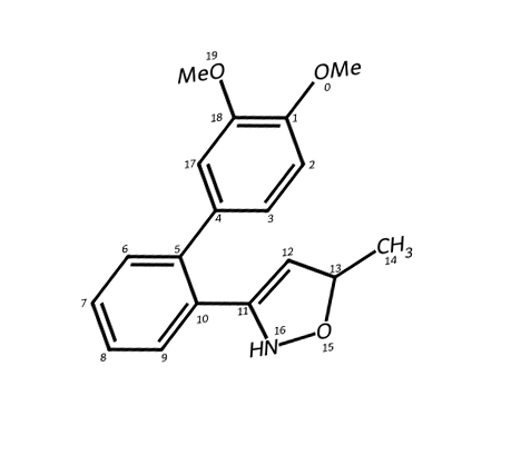 COc1ccc(-c2ccccc2C2=CC(C)ON2)cc1OC